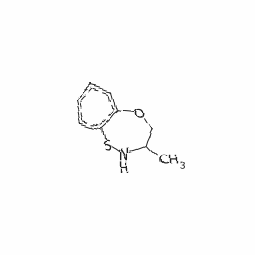 CC1COc2ccccc2SN1